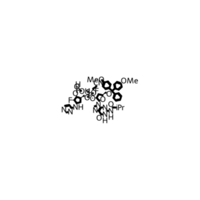 COc1ccc(C(OC[C@H]2O[C@@H](n3cnc4c(=O)[nH]c(NC(=O)C(C)C)nc43)[C@H](O[P@](=S)(OCCC#N)OC[C@H]3C[C@@H](Nc4ccncn4)[C@H](F)[C@@H]3O[PH](=O)O)[C@@H]2F)(c2ccccc2)c2ccc(OC)cc2)cc1